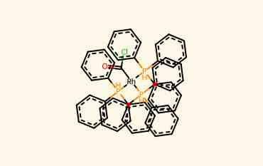 O=[C](Cl)[Rh]([PH](c1ccccc1)(c1ccccc1)c1ccccc1)([PH](c1ccccc1)(c1ccccc1)c1ccccc1)[PH](c1ccccc1)(c1ccccc1)c1ccccc1